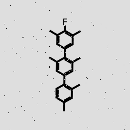 Cc1ccc(-c2cc(C)c(-c3cc(C)c(F)c(C)c3)c(C)c2)c(C)c1